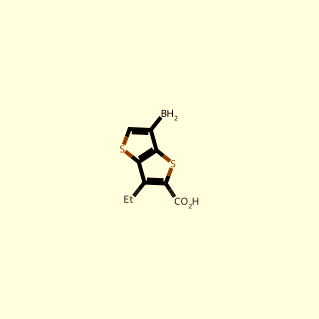 Bc1csc2c(CC)c(C(=O)O)sc12